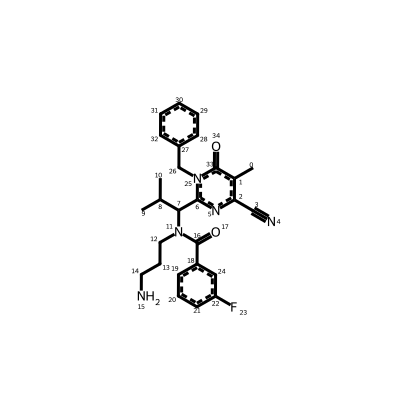 Cc1c(C#N)nc(C(C(C)C)N(CCCN)C(=O)c2cccc(F)c2)n(Cc2ccccc2)c1=O